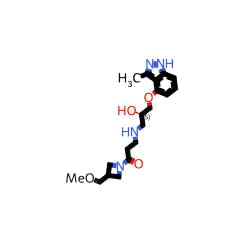 COCC1CN(C(=O)CCNC[C@H](O)COc2cccc3[nH]nc(C)c23)C1